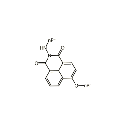 CCCNN1C(=O)c2cccc3c(OCCC)ccc(c23)C1=O